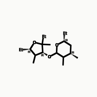 CC[C@@H]1C[C@H](C)C(C)C(O[C@@H]2C(C)[C@H](CC)OC2(C)CC)O1